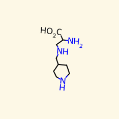 NC(CNCC1CCNCC1)C(=O)O